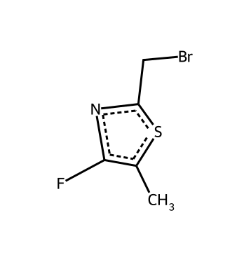 Cc1sc(CBr)nc1F